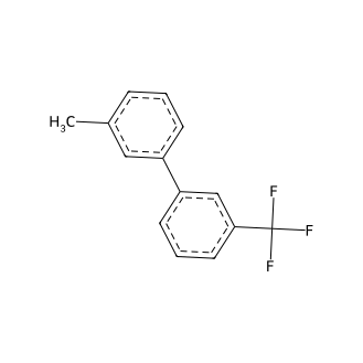 Cc1cccc(-c2cccc(C(F)(F)F)c2)c1